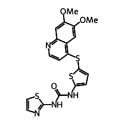 COc1cc2nccc(Sc3ccc(NC(=O)Nc4nccs4)s3)c2cc1OC